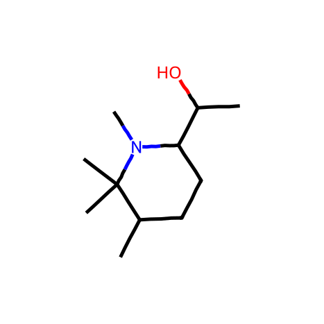 CC(O)C1CCC(C)C(C)(C)N1C